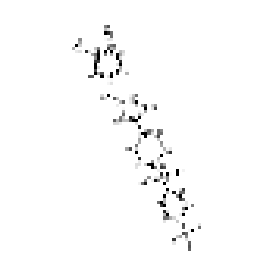 CC(C)(C)c1ccc(S(=O)(=O)N2CCN(c3nc(Cc4ccc(Cl)c(Cl)c4)cs3)CC2)cc1